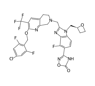 O=c1[nH]c(-c2ccc3c(nc(CN4CCc5cc(C(F)(F)F)c(OCc6c(F)cc(Cl)cc6F)nc5C4)n3C[C@@H]3CCO3)c2F)no1